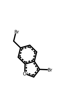 BrCc1ccc2c(Br)coc2c1